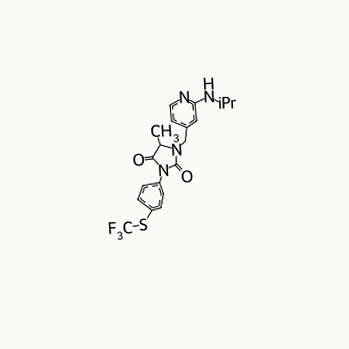 CC(C)Nc1cc(CN2C(=O)N(c3ccc(SC(F)(F)F)cc3)C(=O)C2C)ccn1